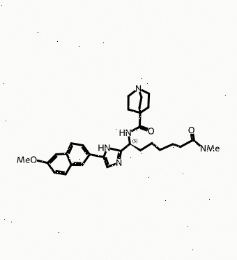 CNC(=O)CCCCC[C@H](NC(=O)C12CCN(CC1)CC2)c1ncc(-c2ccc3cc(OC)ccc3c2)[nH]1